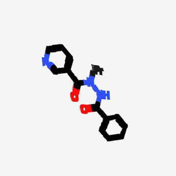 CC(C)N(NC(=O)c1ccccc1)C(=O)c1cccnc1